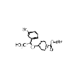 CC(C)(C)OC(=O)N1CCC(OC(C(=O)O)c2cccc(Br)c2)CC1